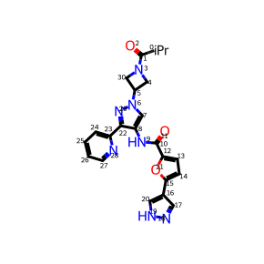 CC(C)C(=O)N1CC(n2cc(NC(=O)c3ccc(-c4cn[nH]c4)o3)c(-c3ccccn3)n2)C1